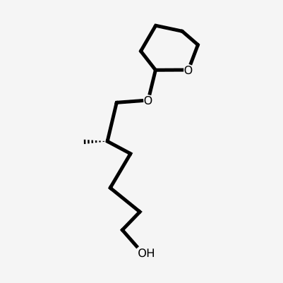 C[C@@H](CCCCO)COC1CCCCO1